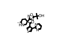 C[C@@H]1CC[C@](C(=O)c2cscc2-c2ncccn2)(c2noc(C(C)(C)O)n2)CN1